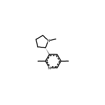 Cc1cnc(C)c([C@@H]2CCCN2C)c1